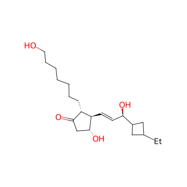 CCC1CC([C@H](O)/C=C/[C@H]2[C@H](O)CC(=O)[C@@H]2CCCCCCCO)C1